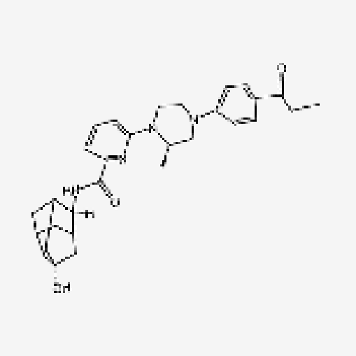 CCC(=O)c1ccc(N2CCN(c3cccc(C(=O)N[C@H]4C5CC6CC4C[C@](O)(C6)C5)n3)[C@H](C)C2)cc1